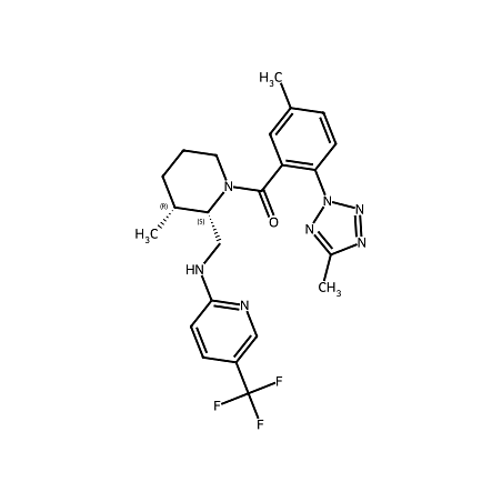 Cc1ccc(-n2nnc(C)n2)c(C(=O)N2CCC[C@@H](C)[C@H]2CNc2ccc(C(F)(F)F)cn2)c1